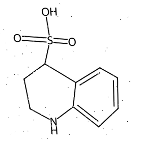 O=S(=O)(O)C1CCNc2ccccc21